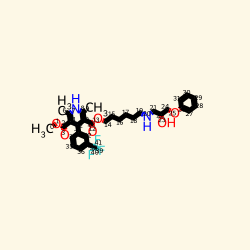 COC(=O)C1=C(C)NC(C)=C(C(=O)OCCCCCCNCC(O)COc2ccccc2)C1c1cccc(C(F)(F)F)c1